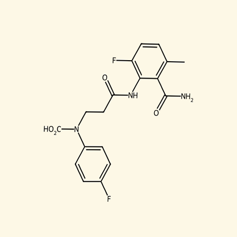 Cc1ccc(F)c(NC(=O)CCN(C(=O)O)c2ccc(F)cc2)c1C(N)=O